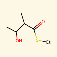 CCSC(=O)C(C)C(C)O